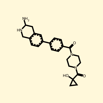 NC1Cc2cc(-c3ccc(C(=O)N4CCN(C(=O)C5(O)CC5)CC4)cc3)ccc2CN1